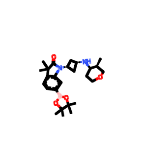 C[C@H]1COCC[C@H]1N[C@H]1C[C@@H](N2C(=O)C(C)(C)c3ccc(B4OC(C)(C)C(C)(C)O4)cc32)C1